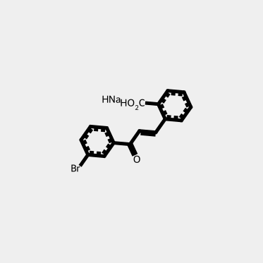 O=C(C=Cc1ccccc1C(=O)O)c1cccc(Br)c1.[NaH]